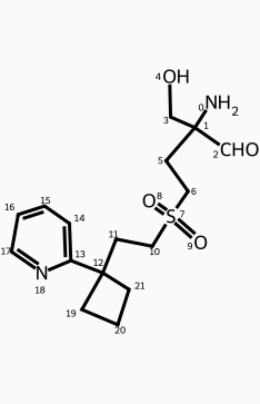 NC(C=O)(CO)CCS(=O)(=O)CCC1(c2ccccn2)CCC1